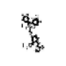 CCc1cc(SCC[C@H](C)Oc2ccc(Cl)cc2Oc2ccc(F)cc2)ccc1CCC(=O)O